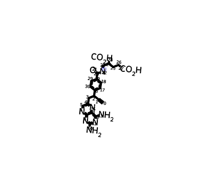 C#CC(Cc1cnc2nc(N)nc(N)c2n1)c1ccc(C(=O)/N=C/C(CCC(=O)O)C(=O)O)cc1